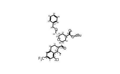 C[C@H]1c2c(Cl)cc(C(F)(F)F)cc2CCN1C(=O)[C@H]1CN(C(=O)OC(C)(C)C)C[C@@H](COCc2ccccc2)O1